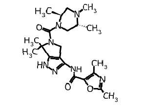 Cc1nc(C)c(C(=O)Nc2n[nH]c3c2CN(C(=O)N2C[C@@H](C)N(C)C[C@@H]2C)C3(C)C)o1